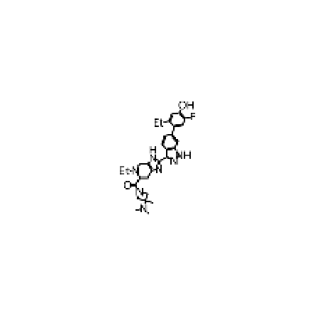 CCc1cc(O)c(F)cc1-c1ccc2c(-c3nc4c([nH]3)CN(CC)C(C(=O)N3CC(C)(N(C)C)C3)C4)n[nH]c2c1